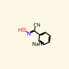 N#CC(=NO)c1ccccc1.[NaH]